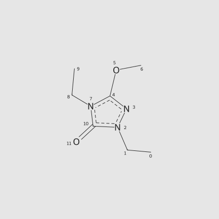 CCn1nc(OC)n(CC)c1=O